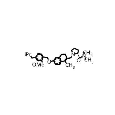 COc1cc(CC(C)C)ccc1COc1ccc2c(c1)CCC(CN1CCC[C@H]1C(=O)N(C)C)=C2C